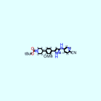 COc1cc(C2CCN(C(=O)OC(C)(C)C)CC2)ccc1-c1cc(Nc2ccc(C#N)nc2)n[nH]1